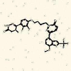 COc1ccc(-c2ccc(=O)n(CCCCOc3ccc(C4=NNC(=O)CC4C)c(F)c3F)n2)c2cc(C(F)(F)F)sc12